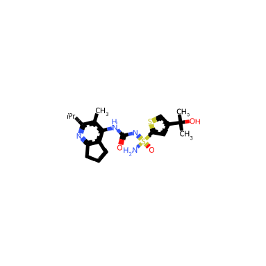 Cc1c(C(C)C)nc2c(c1NC(=O)N=S(N)(=O)c1cc(C(C)(C)O)cs1)CCC2